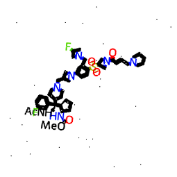 COC(=O)N[C@H]1CCC[C@@H]1[C@](CNC(C)=O)(c1cccc(F)c1)C1CCN(CC2CN(c3ccc(S(=O)(=O)C4CN(C(=O)/C=C/CN5CCCCC5)C4)c(CN4CC(F)C4)c3)C2)CC1